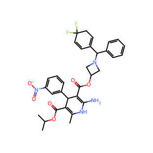 CC1=C(C(=O)OC(C)C)C(c2cccc([N+](=O)[O-])c2)C(C(=O)OC2CN(C(C3=CCC(F)(F)C=C3)c3ccccc3)C2)=C(N)N1